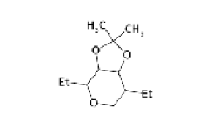 CCC1COC(CC)C2OC(C)(C)OC12